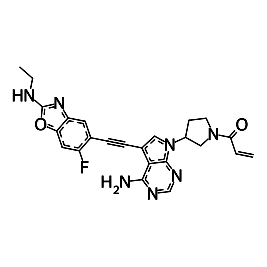 C=CC(=O)N1CCC(n2cc(C#Cc3cc4nc(NCC)oc4cc3F)c3c(N)ncnc32)C1